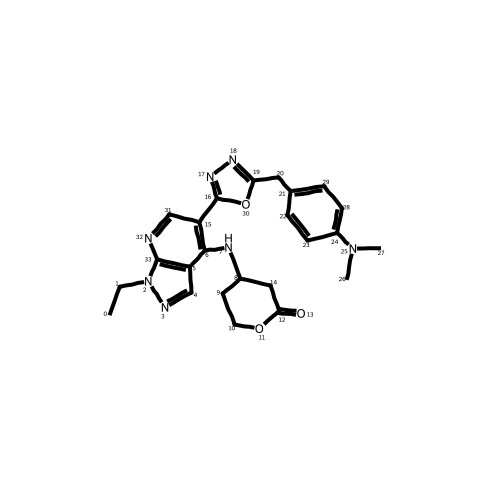 CCn1ncc2c(NC3CCOC(=O)C3)c(-c3nnc(Cc4ccc(N(C)C)cc4)o3)cnc21